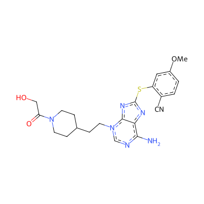 COc1ccc(C#N)c(Sc2nc3c(N)ncn(CCC4CCN(C(=O)CO)CC4)c-3n2)c1